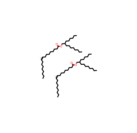 CCCCCCCC/C=C\CCCCCCCC(=O)OCC(CCCCCC)CCCCCCCC.CCCCCCCC/C=C\CCCCCCCC(=O)OCC(CCCCCC)CCCCCCCC